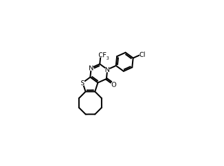 O=c1c2c3c(sc2nc(C(F)(F)F)n1-c1ccc(Cl)cc1)CCCCCC3